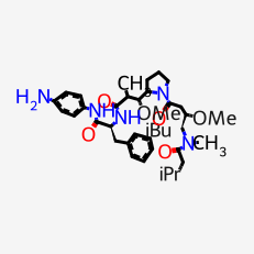 CC[C@H](C)[C@@H](C(CC(=O)N1CCCC1C(OC)C(C)C(=O)N[C@@H](Cc1ccccc1)C(=O)Nc1ccc(N)cc1)OC)N(C)C(=O)CC(C)C